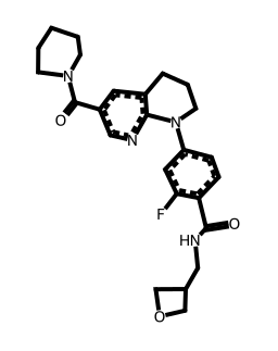 O=C(NCC1COC1)c1ccc(N2CCCc3cc(C(=O)N4CCCCC4)cnc32)cc1F